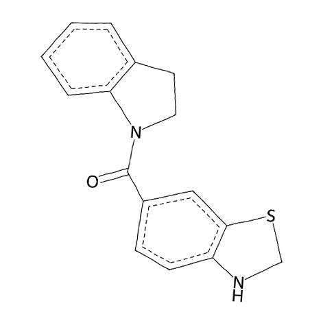 O=C(c1ccc2c(c1)SCN2)N1CCc2ccccc21